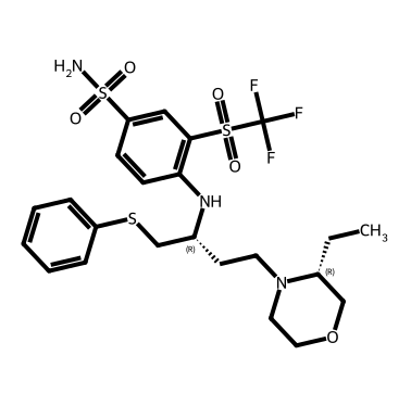 CC[C@@H]1COCCN1CC[C@H](CSc1ccccc1)Nc1ccc(S(N)(=O)=O)cc1S(=O)(=O)C(F)(F)F